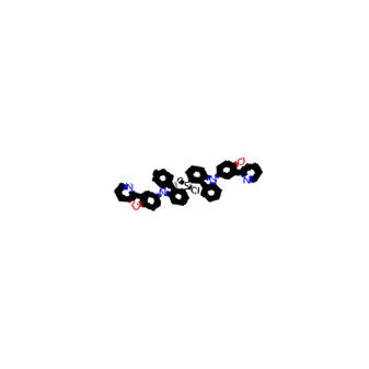 C[Si](C)(c1cccc2c1c1ccccc1n2-c1ccc2oc3cccnc3c2c1)c1cccc2c1c1ccccc1n2-c1ccc2oc3cccnc3c2c1